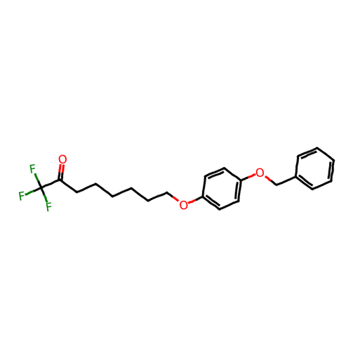 O=C(CCCCCCOc1ccc(OCc2ccccc2)cc1)C(F)(F)F